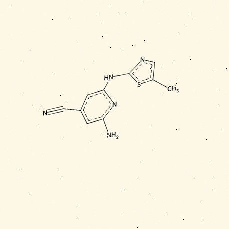 Cc1cnc(Nc2cc(C#N)cc(N)n2)s1